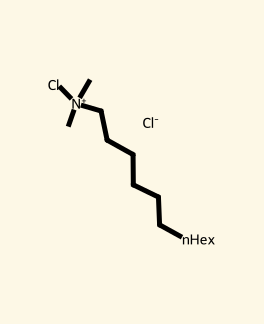 CCCCCCCCCCCC[N+](C)(C)Cl.[Cl-]